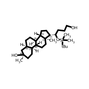 CC(C)(C)[Si](C)(C)OC(CCCO)[C@H]1CC[C@H]2[C@@H]3CC[C@@H]4C[C@](C)(O)CC[C@@H]4[C@H]3CC[C@]12C